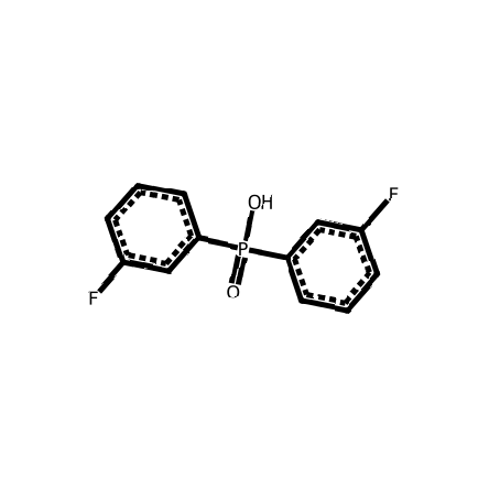 O=P(O)(c1cccc(F)c1)c1cccc(F)c1